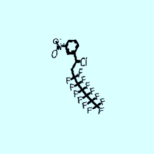 O=[N+]([O-])c1cccc(C(Cl)CC(F)(F)C(F)(F)C(F)(F)C(F)(F)C(F)(F)C(F)(F)F)c1